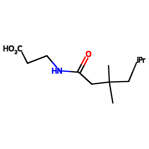 CC(C)CC(C)(C)CC(=O)NCCC(=O)O